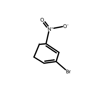 O=[N+]([O-])C1=CC(Br)=CC[CH]1